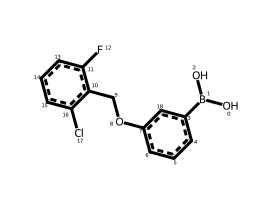 OB(O)c1cccc(OCc2c(F)cccc2Cl)c1